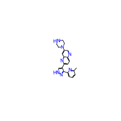 Cc1cccc(-c2n[nH]cc2-c2ccc3ncc(N4CCNCC4)cc3n2)n1